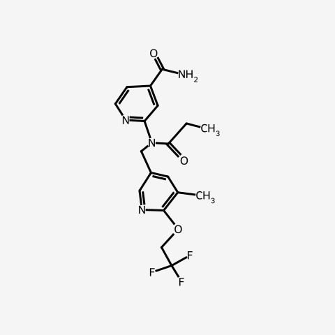 CCC(=O)N(Cc1cnc(OCC(F)(F)F)c(C)c1)c1cc(C(N)=O)ccn1